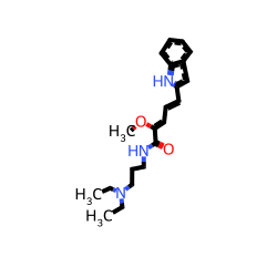 CCN(CC)CCCNC(=O)C(=CC=Cc1cc2ccccc2[nH]1)OC